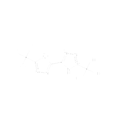 CC(C)(C)c1nnc(-c2nnc(C(C)(C)C)[nH]2)[nH]1